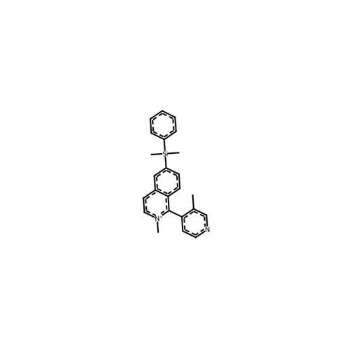 Cc1cnccc1-c1c2ccc([Si](C)(C)c3ccccc3)cc2cc[n+]1C